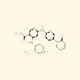 C[C@H]1CNCC[C@H]1Nc1cc(Nc2ccc(N3CCCCC3=O)cn2)ncc1C(N)=O